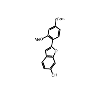 CCCCCc1ccc(-c2cc3ccc(O)cc3o2)c(OC)c1